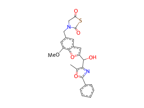 COc1cc(CN2CC(=O)SC2=O)cc2cc(C(O)c3nc(-c4ccccc4)oc3C)oc12